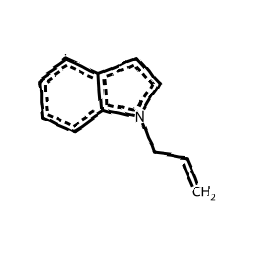 C=CCn1ccc2[c]cccc21